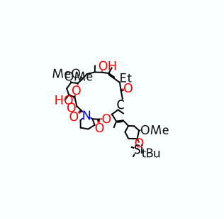 CCC1/C=C(\C)C(O)C(C)CC(OC)C2OC(O)(C(=O)C(=O)N3CCCCC3C(=O)OC(C(C)=CC3CCC(O[Si](C)(C)C(C)(C)C)C(OC)C3)C(C)CCC1=O)C(C)CC2OC